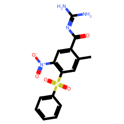 Cc1cc(S(=O)(=O)c2ccccc2)c([N+](=O)[O-])cc1C(=O)N=C(N)N